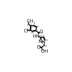 CCc1ccc(C(=O)Nc2ccn(CC(=O)O)n2)cc1Cl